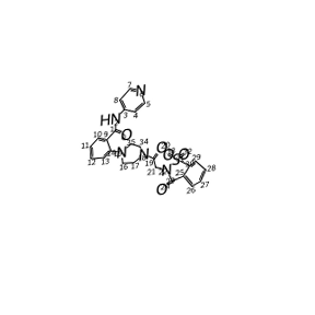 O=C(Nc1ccncc1)c1ccccc1N1CCN(C(=O)CN2C(=O)c3ccccc3S2(=O)=O)CC1